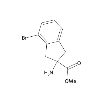 COC(=O)C1(N)Cc2cccc(Br)c2C1